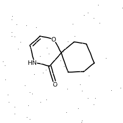 O=C1NC=COC12CCCCC2